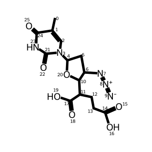 Cc1cn(C2CC(N=[N+]=[N-])C(C(CCC(=O)O)C(=O)O)O2)c(=O)[nH]c1=O